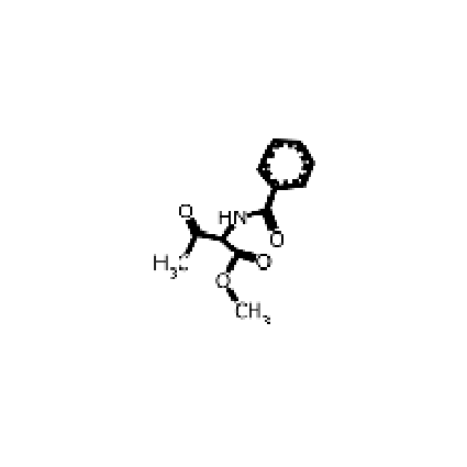 COC(=O)C(NC(=O)c1ccccc1)C(C)=O